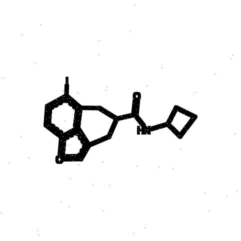 O=C(NC1CCC1)C1Cc2coc3ccc(I)c(c23)C1